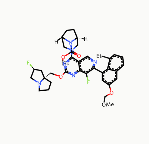 CCc1cccc2cc(OCOC)cc(-c3ncc4c(N5C[C@@H]6CC[C@@H](C5)N6C(=O)OC(C)(C)C)nc(OC[C@]56CCCN5C[C@@H](F)C6)nc4c3F)c12